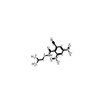 CC(C)CSNC(=S)c1c(C#N)cc([N+](=O)[O-])cc1[N+](=O)[O-]